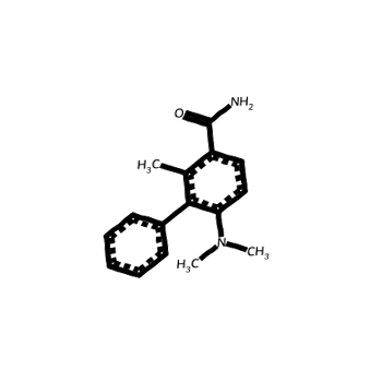 Cc1c(C(N)=O)ccc(N(C)C)c1-c1ccccc1